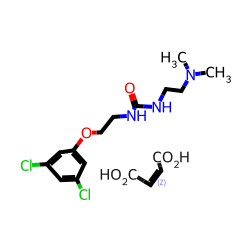 CN(C)CCNC(=O)NCCOc1cc(Cl)cc(Cl)c1.O=C(O)/C=C\C(=O)O